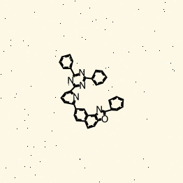 c1ccc(-c2nc(-c3ccccc3)nc(-c3cccc(-c4ccc5ccc6oc(-c7ccccc7)nc6c5c4)n3)n2)cc1